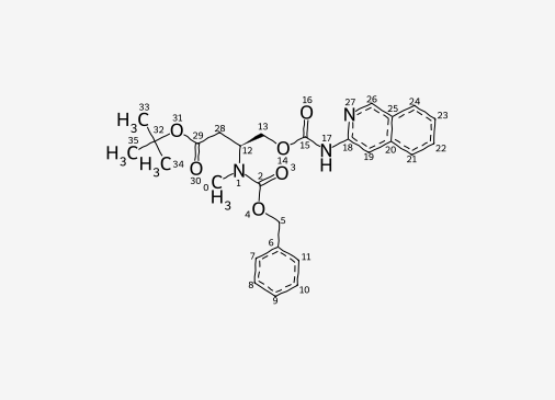 CN(C(=O)OCc1ccccc1)[C@H](COC(=O)Nc1cc2ccccc2cn1)CC(=O)OC(C)(C)C